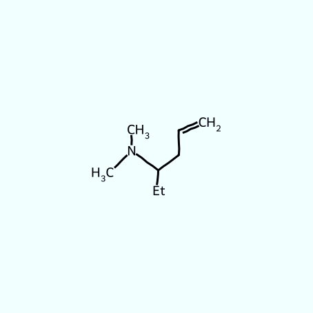 [CH2]CC(CC=C)N(C)C